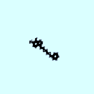 Cc1c(Br)ccc2c1nnn2CCOCCOCc1ccccc1